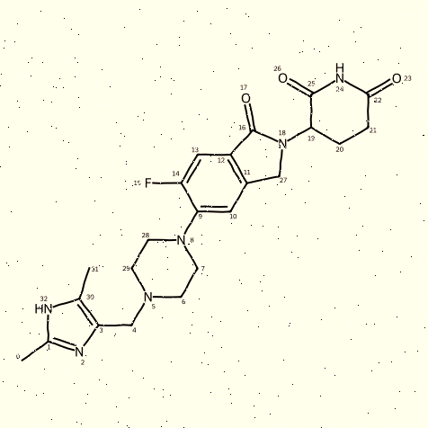 Cc1nc(CN2CCN(c3cc4c(cc3F)C(=O)N(C3CCC(=O)NC3=O)C4)CC2)c(C)[nH]1